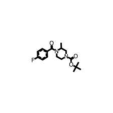 CC1CN(C(=O)OC(C)(C)C)CCN1C(=O)c1ccc(F)cc1